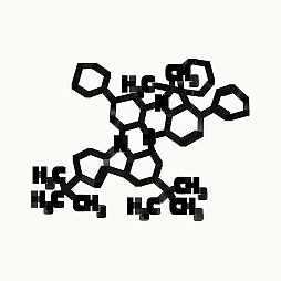 CC(C)(C)C1C=C2C3CC(C(C)(C)C)CC4B5C6C=CC(C7=CCCC=C7)C7C6N(C6CC(C8CCCCC8)CC(C56)N(C2CC1)C43)C(C)(C)C71CCCCC1